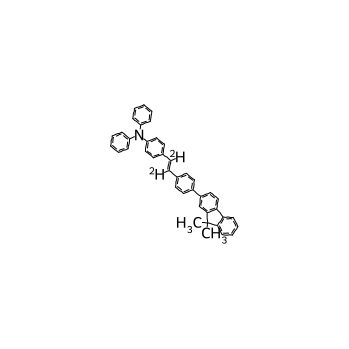 [2H]/C(=C(/[2H])c1ccc(N(c2ccccc2)c2ccccc2)cc1)c1ccc(-c2ccc3c(c2)C(C)(C)c2ccccc2-3)cc1